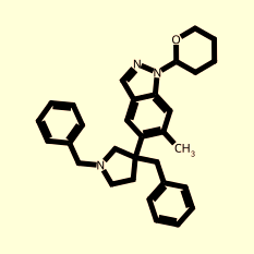 Cc1cc2c(cnn2C2CCCCO2)cc1C1(Cc2ccccc2)CCN(Cc2ccccc2)C1